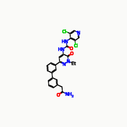 CCn1nc(-c2cccc(-c3cccc(CC(N)=O)c3)c2)cc(NC(=O)Nc2c(Cl)cncc2Cl)c1=O